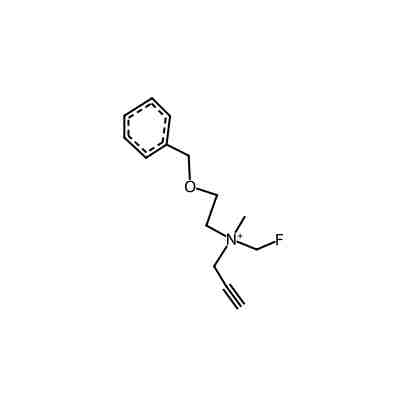 C#CC[N+](C)(CF)CCOCc1ccccc1